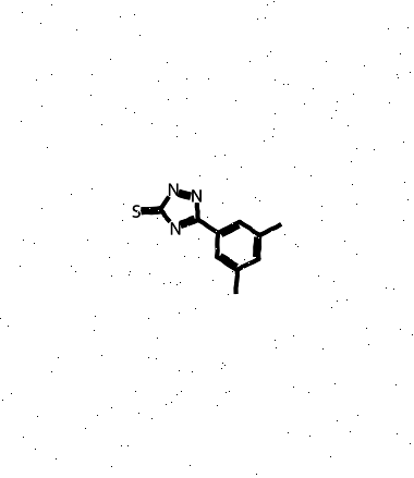 Cc1cc(C)cc(C2=NC(=S)N=N2)c1